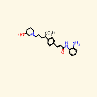 Nc1ccccc1NC(=O)C=Cc1ccc(C(CCCN2CCCC(O)C2)C(=O)O)cc1